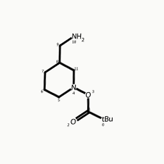 CC(C)(C)C(=O)ON1CCCC(CN)C1